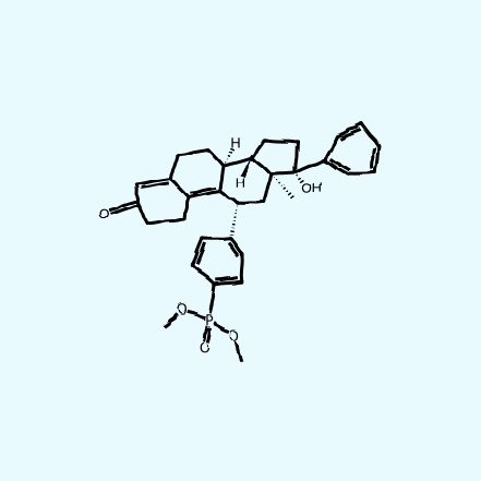 COP(=O)(OC)c1ccc([C@H]2C[C@@]3(C)[C@@H](CC[C@@]3(O)c3ccccc3)[C@@H]3CCC4=CC(=O)CCC4=C32)cc1